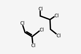 ClC=C(Cl)Cl.ClCC(Cl)CCl